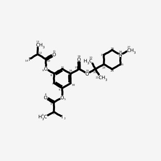 CC(I)C(=O)Oc1cc(OC(=O)C(C)I)cc(C(=O)OC(C)(C)C2CCN(C)CC2)c1